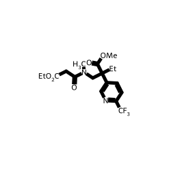 CCOC(=O)CC(=O)N(C)CC(CC)(C(=O)OC)c1ccc(C(F)(F)F)nc1